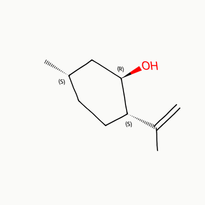 C=C(C)[C@@H]1CC[C@H](C)C[C@H]1O